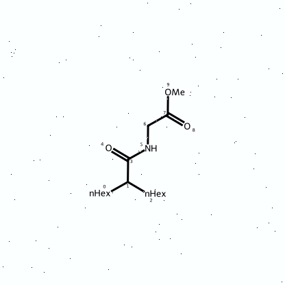 CCCCCCC(CCCCCC)C(=O)NCC(=O)OC